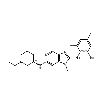 Bc1cc(C)cc(C)c1Nc1nc2cnc(N[C@@H]3CCCN(CC)C3)nc2n1C